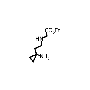 CCOC(=O)CNCCC1(N)CC1